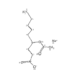 CCCCCC(CCC(=O)[O-])OC(C)=O.[Na+]